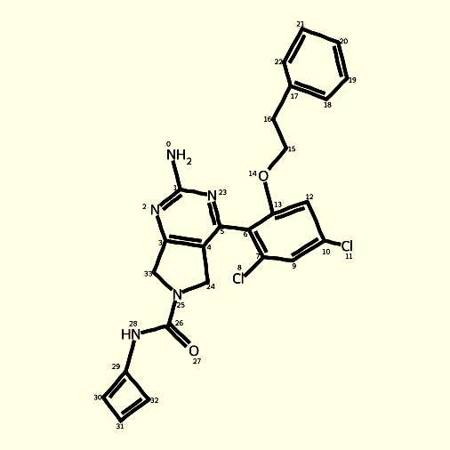 Nc1nc2c(c(-c3c(Cl)cc(Cl)cc3OCCc3ccccc3)n1)CN(C(=O)NC1=CC=C1)C2